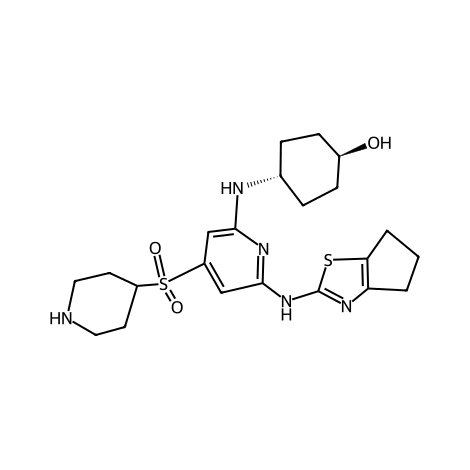 O=S(=O)(c1cc(Nc2nc3c(s2)CCC3)nc(N[C@H]2CC[C@H](O)CC2)c1)C1CCNCC1